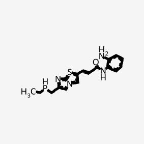 CCPCc1cn2cc(/C=C/C(=O)Nc3ccccc3N)sc2n1